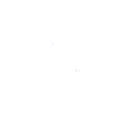 CCC(C)(C)c1ccccc1.N